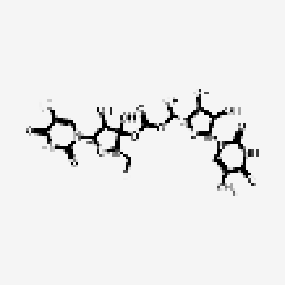 Cc1cn([C@@H]2O[C@H](C(O)OC(=O)OC3(O)C(O)[C@H](n4cc(C)c(=O)[nH]c4=O)O[C@@H]3CO)C(O)C2O)c(=O)[nH]c1=O